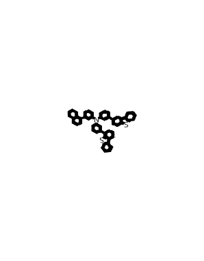 c1cc(-c2ccc3sc4ccccc4c3c2)cc(N(c2cccc(-c3cccc4ccccc34)c2)c2cccc(-c3cccc4c3sc3ccccc34)c2)c1